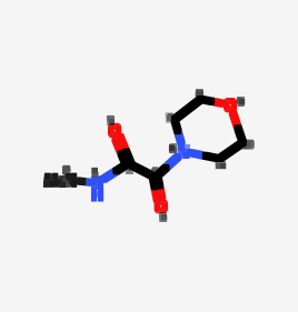 CNNC(=O)C(=O)N1CCOCC1